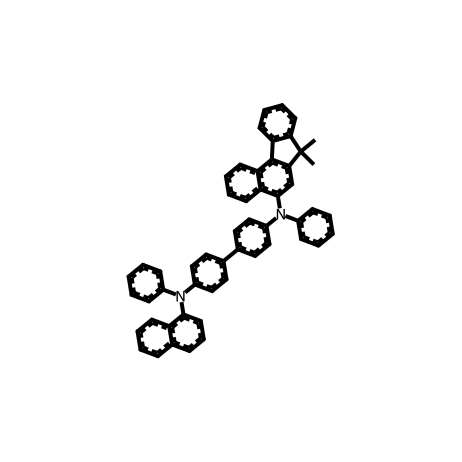 CC1(C)c2ccccc2-c2c1cc(N(c1ccccc1)c1ccc(-c3ccc(N(c4ccccc4)c4cccc5ccccc45)cc3)cc1)c1ccccc21